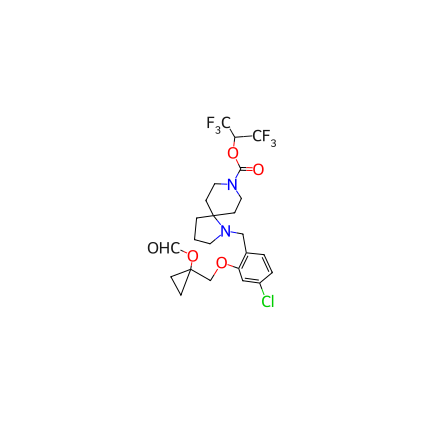 O=COC1(COc2cc(Cl)ccc2CN2CCCC23CCN(C(=O)OC(C(F)(F)F)C(F)(F)F)CC3)CC1